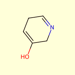 OC1=CCC=NC1